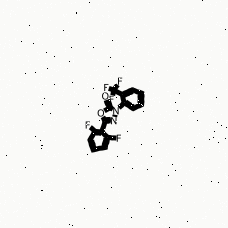 O=c1oc(-c2c(F)cccc2F)nn1-c1ccccc1C(F)(F)F